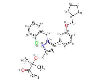 CC(=O)C(C)(C)OCc1cc(-c2cccc(OCC3CCCC3)c2)n(Cc2ccccc2Cl)n1